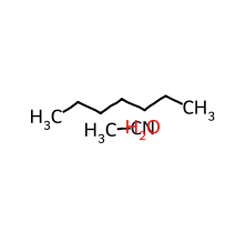 CC#N.CCCCCCC.O